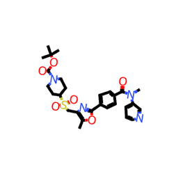 Cc1oc(-c2ccc(C(=O)N(C)c3cccnc3)cc2)nc1CS(=O)(=O)C1CCN(C(=O)OC(C)(C)C)CC1